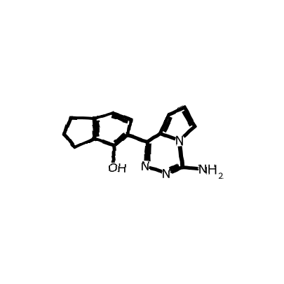 Nc1nnc(-c2ccc3c(c2O)CCC3)c2cccn12